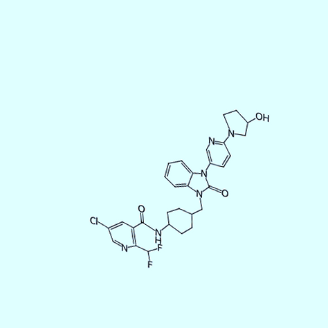 O=C(NC1CCC(Cn2c(=O)n(-c3ccc(N4CCC(O)C4)nc3)c3ccccc32)CC1)c1cc(Cl)cnc1C(F)F